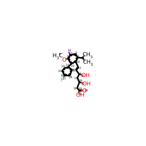 COc1c(I)cc(C(C)C)c(/C=C/C(O)CC(O)CC(=O)O)c1-c1ccc(F)cc1